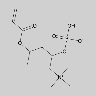 C=CC(=O)OC(C)CC(C[N+](C)(C)C)OP(=O)([O-])O